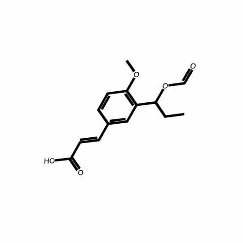 CCC(OC=O)c1cc(/C=C/C(=O)O)ccc1OC